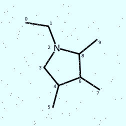 CCN1CC(C)C(C)C1C